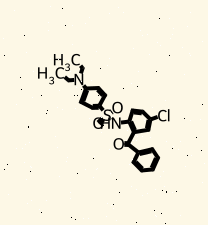 CCN(CC)c1ccc(S(=O)(=O)Nc2ccc(Cl)cc2C(=O)c2ccccc2)cc1